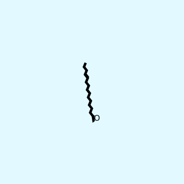 CCCC=CCCCCCCCCCC1CO1